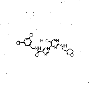 Cc1cnc(NCC2CCOC2)nc1-n1cnc(C(=O)NCc2cc(Cl)cc(Cl)c2)c1